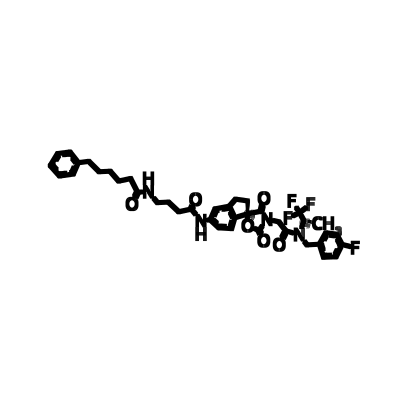 C[C@H](N(Cc1ccc(F)cc1)C(=O)CN1C(=O)O[C@@]2(CCc3cc(NC(=O)CCCNC(=O)CCCCCc4ccccc4)ccc32)C1=O)C(F)(F)F